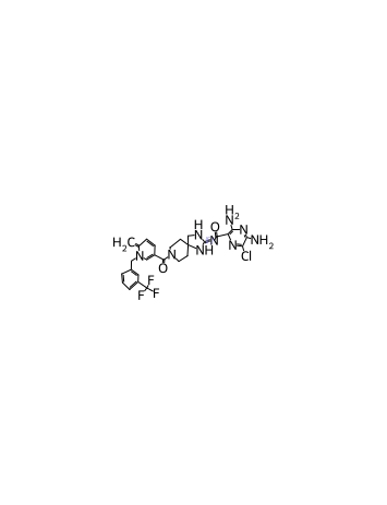 C=C1C=CC(C(=O)N2CCC3(CC2)CN/C(=N\C(=O)c2nc(Cl)c(N)nc2N)N3)=CN1Cc1cccc(C(F)(F)F)c1